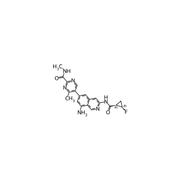 CNC(=O)c1ncc(-c2cc(N)c3cnc(NC(=O)[C@H]4C[C@H]4F)cc3c2)c(C)n1